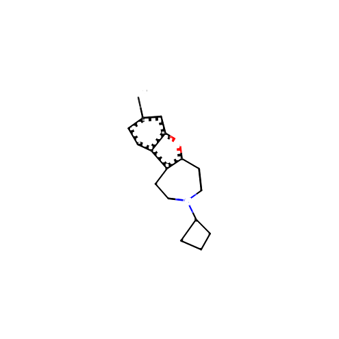 COc1ccc2c3c(oc2c1)CCN(C1CCC1)CC3